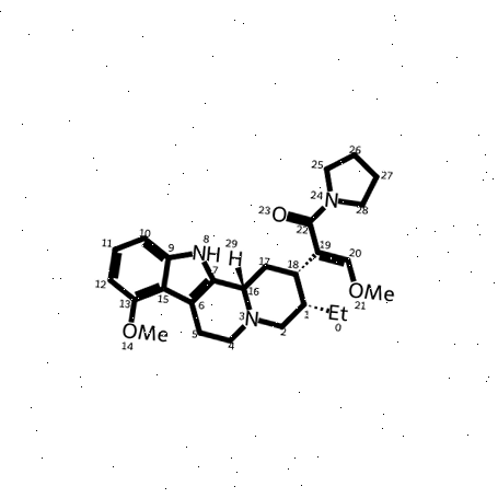 CC[C@@H]1CN2CCc3c([nH]c4cccc(OC)c34)[C@@H]2C[C@@H]1/C(=C\OC)C(=O)N1CCCC1